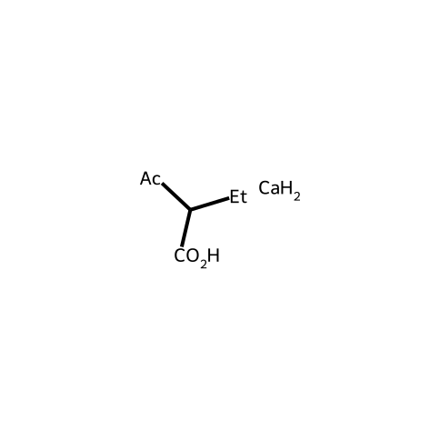 CCC(C(C)=O)C(=O)O.[CaH2]